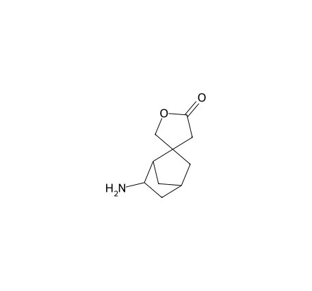 NC1CC2CC1C1(COC(=O)C1)C2